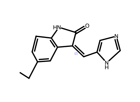 CCc1ccc2c(c1)/C(=C/c1cnc[nH]1)C(=O)N2